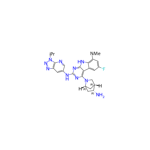 CNc1cc(F)cc2c1[nH]c1nc(Nc3cnc4c(c3)nnn4C(C)C)nc(N3C[C@H]4C[C@@H]3C[C@H]4N)c12